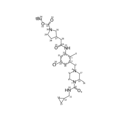 Cc1c(CN2CCN(C(=O)NCC3CC3)C(C)C2)cc(Cl)cc1NC(=O)CC1CCN(C(=O)OC(C)(C)C)C1